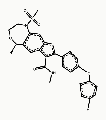 CNC(=O)c1c(-c2ccc(Oc3ccc(F)cc3)cc2)oc2cc3c(cc12)[C@@H](C)OCCN3S(C)(=O)=O